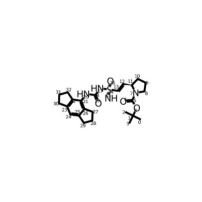 CC(C)(C)OC(=O)N1CCC[C@@H]1/C=C/S(=N)(=O)NC(=O)Nc1c2c(cc3c1CCC3)CCC2